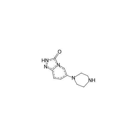 O=c1[nH]nc2ccc(N3CCNCC3)cn12